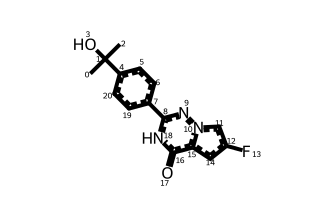 CC(C)(O)c1ccc(-c2nn3cc(F)cc3c(=O)[nH]2)cc1